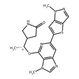 C[C@@H](Oc1nc(-c2cc3c(cnn3C)s2)cc2ncn(C)c12)C1CNC(=O)C1